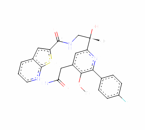 CCOc1c(CC(N)=O)cc([C@@](O)(CNC(=O)c2cc3cccnc3s2)C(F)(F)F)nc1-c1ccc(F)cc1